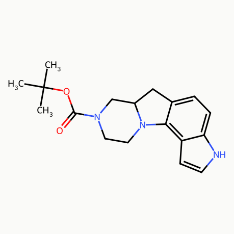 CC(C)(C)OC(=O)N1CCN2c3c(ccc4[nH]ccc34)CC2C1